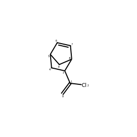 C=C(Cl)C1CC2C=CC1C2